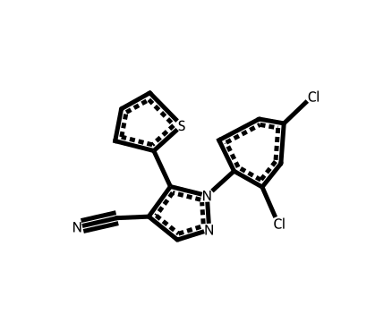 N#Cc1cnn(-c2ccc(Cl)cc2Cl)c1-c1cccs1